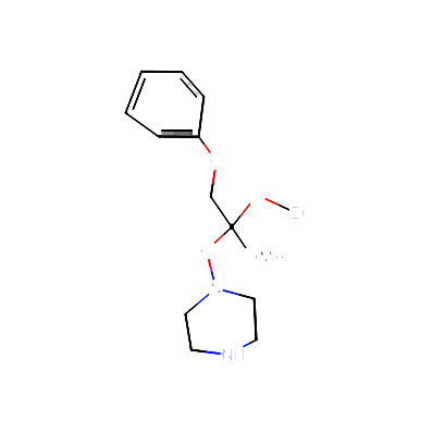 CCOC(COc1[c]cccc1)(OC)ON1CCNCC1